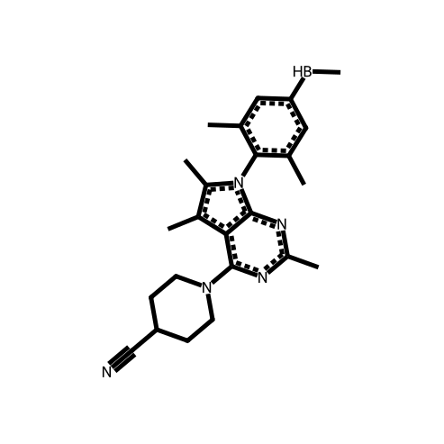 CBc1cc(C)c(-n2c(C)c(C)c3c(N4CCC(C#N)CC4)nc(C)nc32)c(C)c1